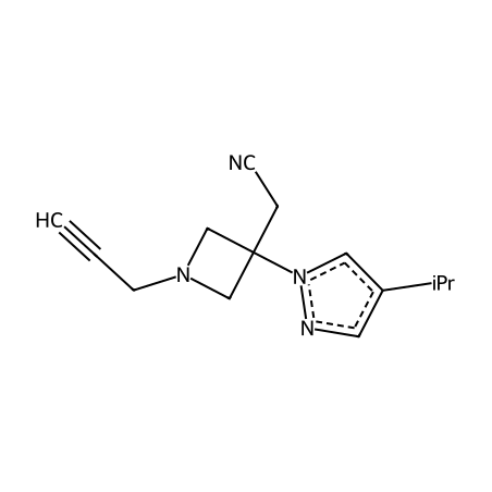 C#CCN1CC(CC#N)(n2cc(C(C)C)cn2)C1